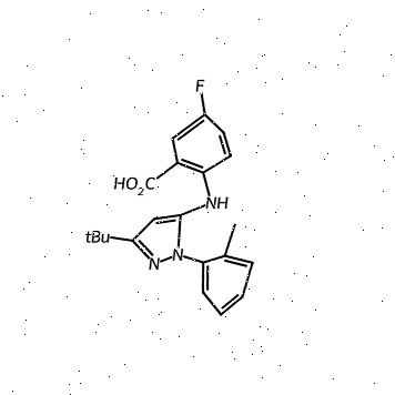 Cc1ccccc1-n1nc(C(C)(C)C)cc1Nc1ccc(F)cc1C(=O)O